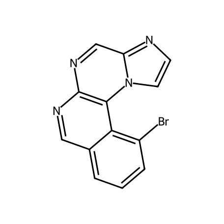 Brc1cccc2cnc3ncc4nccn4c3c12